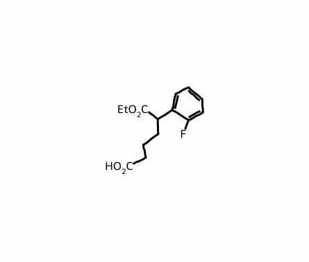 CCOC(=O)C(CCCC(=O)O)c1ccccc1F